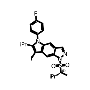 CC(C)c1c(I)c2cc3c(cnn3S(=O)(=O)[C@@H](C)C(C)C)cc2n1-c1ccc(F)cc1